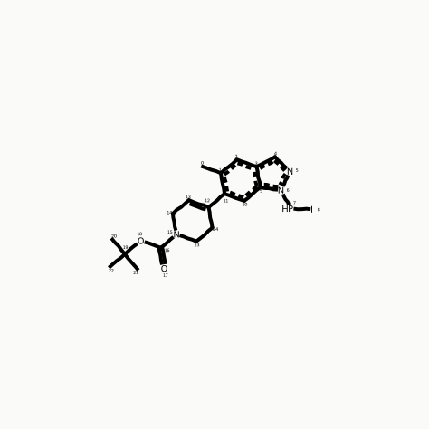 Cc1cc2cnn(PI)c2cc1C1=CCN(C(=O)OC(C)(C)C)CC1